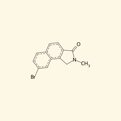 CN1Cc2c(ccc3ccc(Br)cc23)C1=O